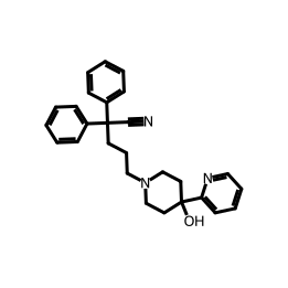 N#CC(CCCN1CCC(O)(c2ccccn2)CC1)(c1ccccc1)c1ccccc1